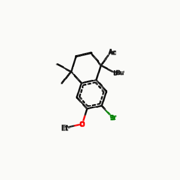 CCOc1cc2c(cc1Br)C(C(C)=O)(C(C)(C)C)CCC2(C)C